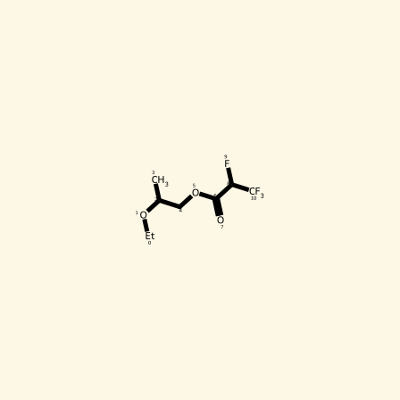 CCOC(C)COC(=O)C(F)C(F)(F)F